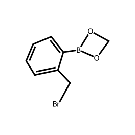 BrCc1ccccc1B1OCO1